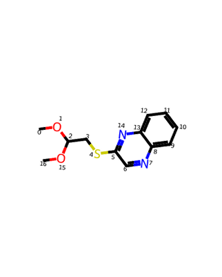 COC(CSc1cnc2ccccc2n1)OC